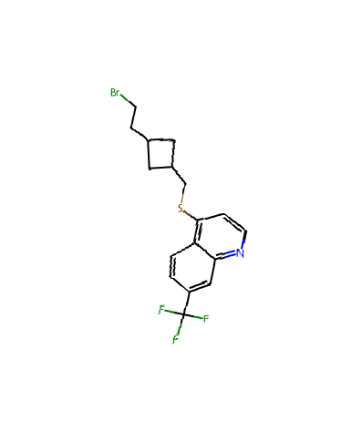 FC(F)(F)c1ccc2c(SCC3CC(CCBr)C3)ccnc2c1